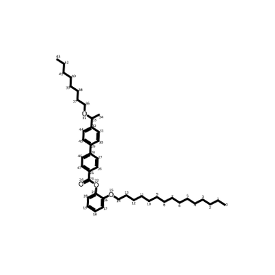 CCCCCCCCCCCCCCCOc1ccccc1OC(=O)c1ccc(-c2ccc(C(C)OCCCCCCCC)cc2)cc1